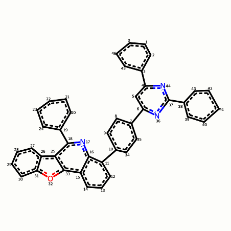 c1ccc(-c2cc(-c3ccc(-c4cccc5c4nc(-c4ccccc4)c4c6ccccc6oc54)cc3)nc(-c3ccccc3)n2)cc1